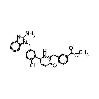 COC(=O)c1cccc(CN2NC(c3cc(Cn4c(N)nc5ccccc54)ccc3Cl)C=CC2=O)c1